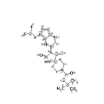 CC(C)(C)OC(=O)N1CCC2(CC1)NC(=O)N(c1cnc3cnn(CC(F)F)c3n1)C2=O